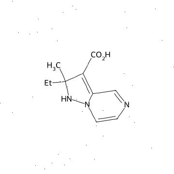 CCC1(C)NN2C=CN=CC2=C1C(=O)O